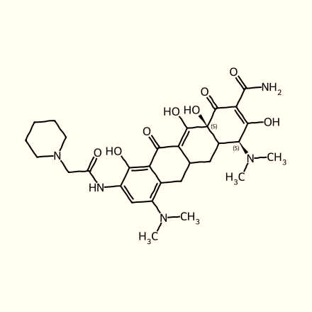 CN(C)c1cc(NC(=O)CN2CCCCC2)c(O)c2c1CC1CC3[C@H](N(C)C)C(O)=C(C(N)=O)C(=O)[C@@]3(O)C(O)=C1C2=O